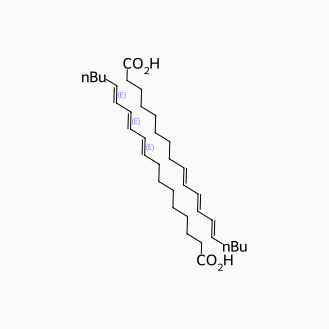 CCCC/C=C/C=C/C=C/CCCCCCCC(=O)O.CCCCC=CC=CC=CCCCCCCCC(=O)O